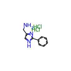 Cl.Cl.NCc1c[nH]c(-c2ccccc2)n1